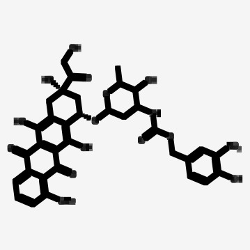 COc1cccc2c1C(=O)c1c(O)c3c(c(O)c1C2=O)C[C@@](O)(C(=O)CO)C[C@@H]3OC1CC(NC(=O)OCc2ccc(O)c([N+](=O)[O-])c2)C(O)C(C)O1